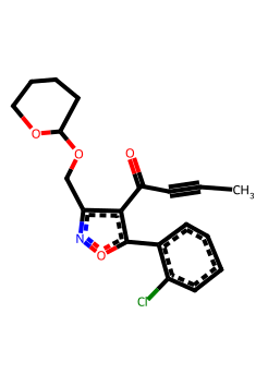 CC#CC(=O)c1c(COC2CCCCO2)noc1-c1ccccc1Cl